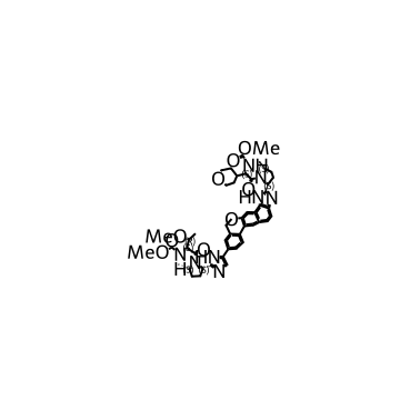 COC(=O)N[C@H](C(=O)N1[C@@H](C)CC[C@H]1c1nc2ccc3cc4c(cc3c2[nH]1)OCc1cc(-c2cnc([C@@H]3CC[C@H](C)N3C(=O)[C@@H](NC(=O)OC)[C@@H](C)OC)[nH]2)ccc1-4)C1CCOCC1